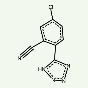 N#Cc1cc(Cl)ccc1-c1nnn[nH]1